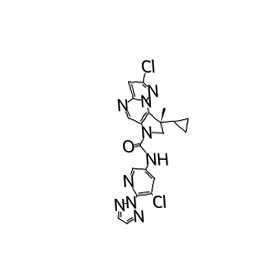 C[C@@]1(C2CC2)CN(C(=O)Nc2cnc(-n3nccn3)c(Cl)c2)c2cnc3cc(Cl)nn3c21